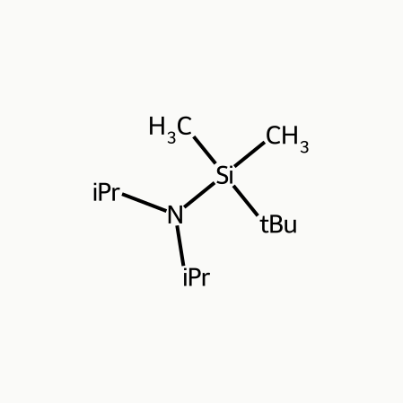 CC(C)N(C(C)C)[Si](C)(C)C(C)(C)C